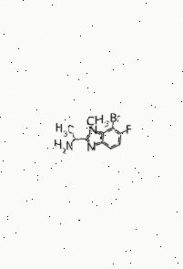 CC(N)c1nc2ccc(F)c(Br)c2n1C